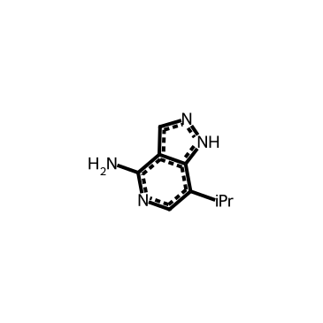 CC(C)c1cnc(N)c2cn[nH]c12